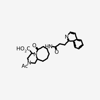 CC(=O)N1CC2CCCC(NC(=O)CCc3nccc4ccccc34)CC(=O)N2C(C(=O)O)C1